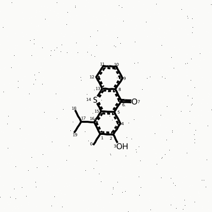 Cc1c(O)cc2c(=O)c3ccccc3sc2c1C(C)C